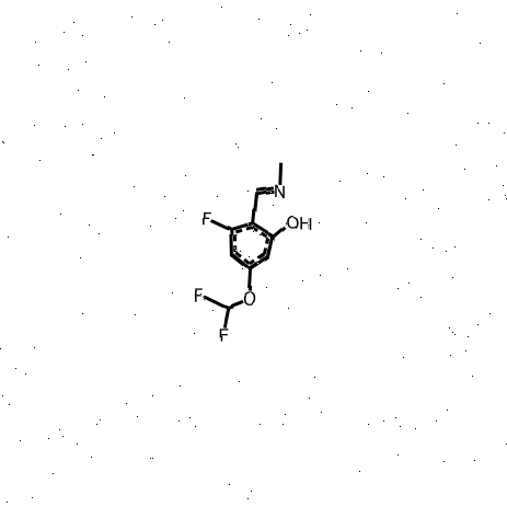 C/N=C/c1c(O)cc(OC(F)F)cc1F